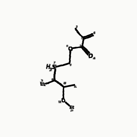 C=C(C)C(=O)OC[SiH2]C(CC)C(C)OCC